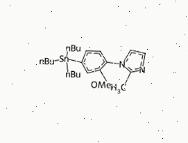 CCC[CH2][Sn]([CH2]CCC)([CH2]CCC)[c]1ccc(-n2ccnc2C)c(OC)c1